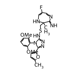 COc1cccc(OC)c1-n1c(NSCC2(C)NC=C(F)C=NC2=N)nnc1-c1ccc(C)o1